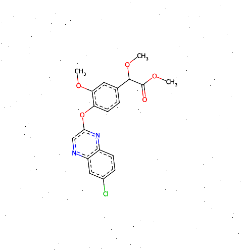 COC(=O)C(OC)c1ccc(Oc2cnc3cc(Cl)ccc3n2)c(OC)c1